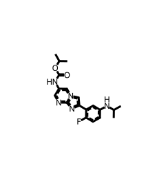 CC(C)Nc1ccc(F)c(-c2cn3cc(NC(=O)OC(C)C)cnc3n2)c1